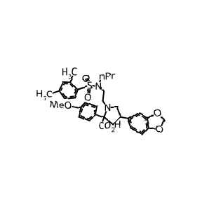 CCCN(CCN1CC(c2ccc3c(c2)OCO3)CC1(C(=O)O)c1ccc(OC)cc1)S(=O)(=O)c1ccc(C)cc1C